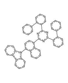 c1ccc(-c2ccccc2-c2nc(-c3ccccc3-c3ccccc3)nc(-c3ccc(-n4c5ccccc5c5ccccc54)c4ccccc34)n2)cc1